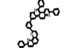 c1ccc(-c2ccc3c(ccc4c5cc(-c6cccc(-c7ccc8ccc9ccc(-c%10ccccc%10)nc9c8n7)c6)ccc5nc(-c5ccccc5)c34)n2)cc1